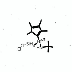 CC1=C(C)C(C)[C]([Hf+2]([CH3])([CH3])[NH]C(C)(C)C)=C1C.[Cl-].[Cl-].[SiH4]